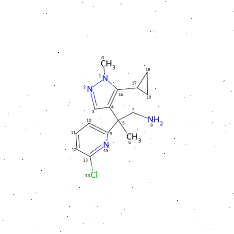 Cn1ncc(C(C)(CN)c2cccc(Cl)n2)c1C1CC1